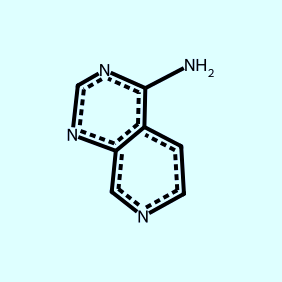 Nc1ncnc2cnccc12